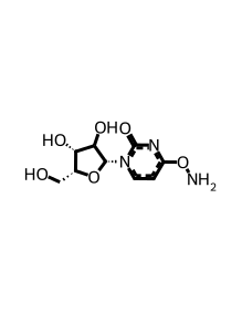 NOc1ccn([C@@H]2O[C@H](CO)[C@H](O)C2O)c(=O)n1